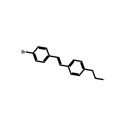 [CH2]CCc1ccc(C=Cc2ccc(Br)cc2)cc1